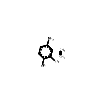 C=C.CCCc1ccc(N)cc1CCC